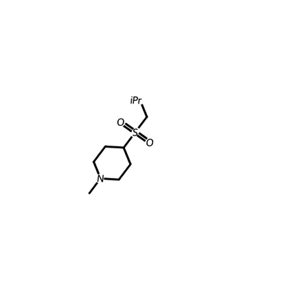 CC(C)CS(=O)(=O)C1CCN(C)CC1